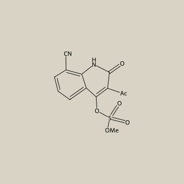 COS(=O)(=O)Oc1c(C(C)=O)c(=O)[nH]c2c(C#N)cccc12